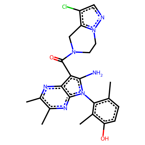 Cc1ccc(O)c(C)c1-n1c(N)c(C(=O)N2CCn3ncc(Cl)c3C2)c2nc(C)c(C)nc21